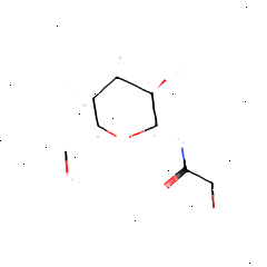 O=C(CBr)N[C@@H]1O[C@H](CO)[C@H](O)[C@H](O)[C@H]1O